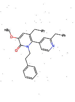 CCCCOc1cc(CC(C)C)c(-c2ccnc(CC(C)C)c2)n(CCc2ccccc2)c1=O